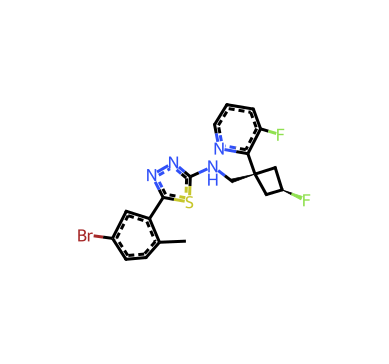 Cc1ccc(Br)cc1-c1nnc(NC[C@]2(c3ncccc3F)C[C@H](F)C2)s1